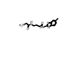 Cc1ccc2nc(NC(=O)CCCNC(=O)CN)sc2c1